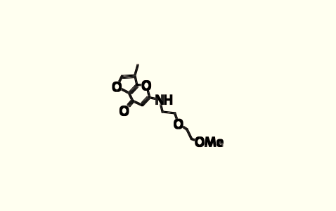 COCCOCCNc1cc(=O)c2occ(C)c2o1